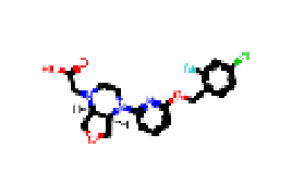 O=C(O)CN1CCN(c2cccc(OCc3ccc(Cl)cc3F)n2)[C@H]2COC[C@H]21